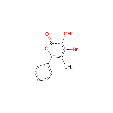 Cc1c(-c2ccccc2)oc(=O)c(O)c1Br